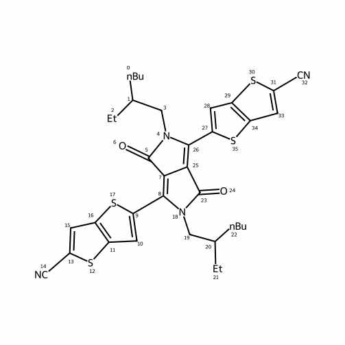 CCCCC(CC)CN1C(=O)C2=C(c3cc4sc(C#N)cc4s3)N(CC(CC)CCCC)C(=O)C2=C1c1cc2sc(C#N)cc2s1